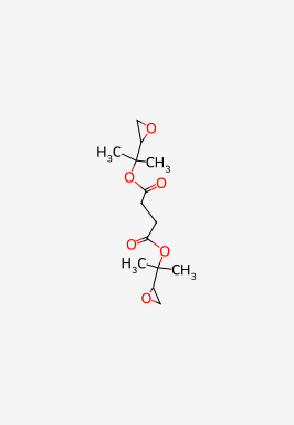 CC(C)(OC(=O)CCC(=O)OC(C)(C)C1CO1)C1CO1